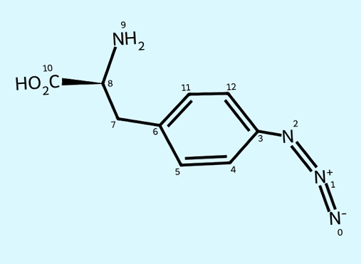 [N-]=[N+]=Nc1ccc(C[C@H](N)C(=O)O)cc1